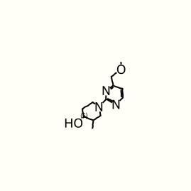 COCc1ccnc(N2CC[C@H](O)C(C)C2)n1